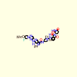 CCCC(CC)(Nc1cccc2c1C(=O)N(C1CCC(=O)NC1=O)C2=O)N1CCC(NC(=O)c2cn(C(C)C)c3cc(Nc4ccnc(N5CC[C@H](OC)[C@H](F)C5)n4)ncc23)CC1